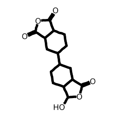 O=C1OC(=O)C2CC(C3CCC4C(O)OC(=O)C4C3)CCC12